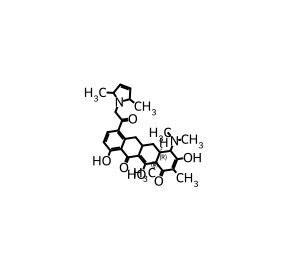 CC1=C(O)C(N(C)C)[C@@H]2CC3Cc4c(C(=O)CN5C(C)C=CC5C)ccc(O)c4C(=O)C3=C(O)[C@]2(C)C1=O